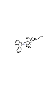 CCCOc1ccc2c(c1)CCN=C2/C=C/c1cc2ccccc2c2ccccc12